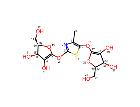 Cc1nc(OC2=C(O)[C@@H](O)[C@@H](CO)O2)sc1OC1=C(O)[C@@H](O)[C@@H](CO)O1